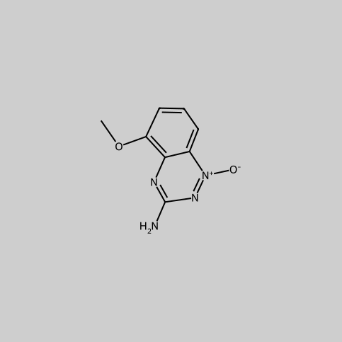 COc1cccc2c1nc(N)n[n+]2[O-]